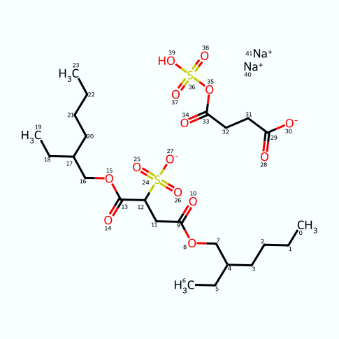 CCCCC(CC)COC(=O)CC(C(=O)OCC(CC)CCCC)S(=O)(=O)[O-].O=C([O-])CCC(=O)OS(=O)(=O)O.[Na+].[Na+]